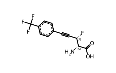 N[C@@H](C(=O)O)[C@@H](F)C#Cc1ccc(C(F)(F)F)cc1